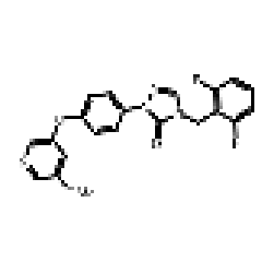 COc1cncc(Oc2ccc(-n3ncn(Cc4c(F)cccc4F)c3=O)cc2)c1